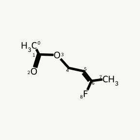 CC(=O)OC/C=C(/C)F